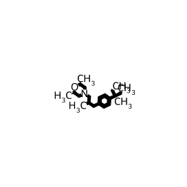 CCC(C)(CC)c1ccc(CC(C)CN2C[C@@H](C)O[C@@H](C)C2)cc1